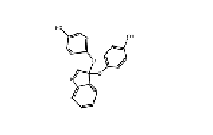 Oc1ccc(OC2(Oc3ccc(O)cc3)C=Nc3ccccc32)cc1